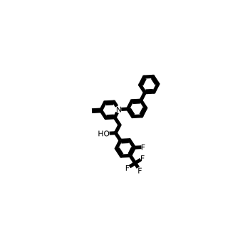 C=C1C=CN(c2cccc(-c3ccccc3)c2)C(CC(O)c2ccc(C(F)(F)F)c(F)c2)=C1